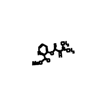 COC(=O)c1ncccc1OC(=S)NN(C)C